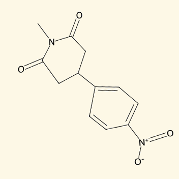 CN1C(=O)CC(c2ccc([N+](=O)[O-])cc2)CC1=O